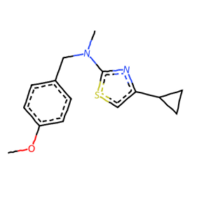 COc1ccc(CN(C)c2nc(C3CC3)cs2)cc1